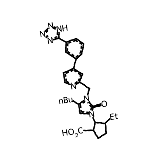 CCCCc1cn(C2C(CC)CCC2C(=O)O)c(=O)n1Cc1cc(-c2cccc(-c3nnn[nH]3)c2)ccn1